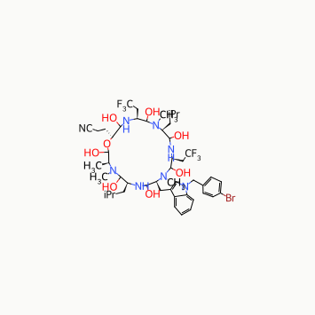 CC(C)C[C@@H]1NC(O)[C@H](Cc2cn(Cc3ccc(Br)cc3)c3ccccc23)N(C)C(O)[C@H](CC(F)(F)F)NC(O)[C@H](CC(C)C)N(C)C(O)[C@H](CC(F)(F)F)NC(O)[C@@H](CCC#N)OC(O)[C@H](C)N(C)C1O